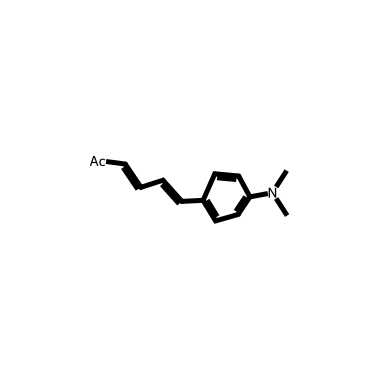 [CH2]C(=O)C=CC=Cc1ccc(N(C)C)cc1